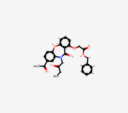 COC(=O)c1ccc2c(c1)N(CC(=O)CC(C)(C)C)C(=O)c1c(OCC(=O)OCc3ccccc3)cccc1O2